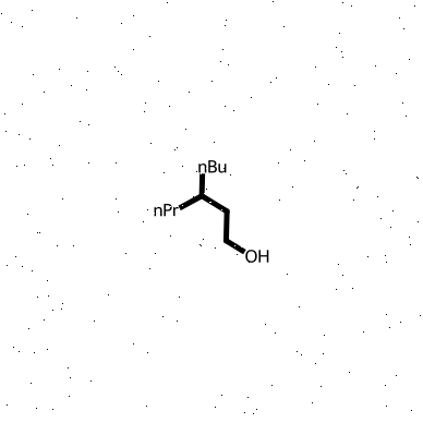 CCCCC(CCC)CCO